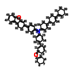 C1=CC2C3=C(CCCC3)OC2C=C1c1ccc(N(C2=CC=C(C3CC=C(C4=CCCCC4)CC3)CC2)c2ccc(C3C=c4oc5ccccc5c4=CC3)cc2)cc1